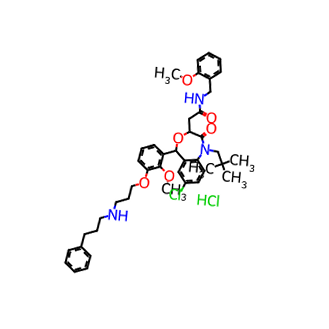 COc1ccccc1CNC(=O)CC1OC(c2cccc(OCCCNCCCc3ccccc3)c2OC)c2cc(Cl)ccc2N(CC(C)(C)C)C1=O.Cl